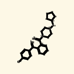 N=C(c1ccc(Cl)cc1)c1ccccc1C(=N)N1CCN(SC2CCCC2)CC1